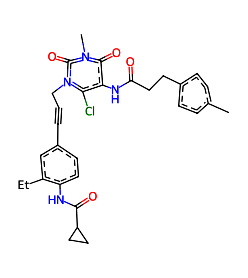 CCc1cc(C#CCn2c(Cl)c(NC(=O)CCc3ccc(C)cc3)c(=O)n(C)c2=O)ccc1NC(=O)C1CC1